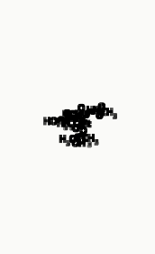 CCC(C)(CC(C)(CC(C)(C)C(=O)OCCO)C(=O)OCCNS(C)(=O)=O)C(=O)OC(C)CC(C)(O)C(F)(F)F